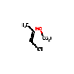 CC=CC#N.O=C(O)O